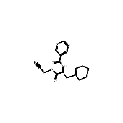 N#CCNC(=O)[C@H](CC1CCCCC1)NC(=O)c1cncnc1